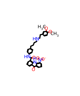 COc1ccc(CCNCCCCc2ccc(NC(=O)c3cccc4c(=O)c5cccc([N+](=O)[O-])c5[nH]c34)cc2)cc1OC